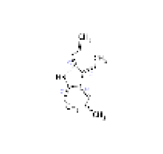 C=C/C=c1/c(=C/C)/c(=C\C=C)[nH]/c1=C/C